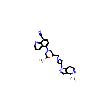 CC1CN(c2ccc(C#N)c3ncccc23)CC(CN2CC(n3ncc4c3CCN[C@@H]4C)C2)O1